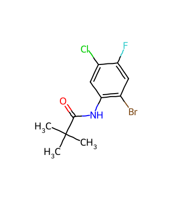 CC(C)(C)C(=O)Nc1cc(Cl)c(F)cc1Br